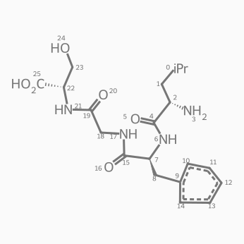 CC(C)C[C@H](N)C(=O)N[C@@H](Cc1ccccc1)C(=O)NCC(=O)N[C@@H](CO)C(=O)O